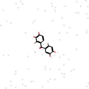 O=C(c1cc(O)c(O)cc1Br)c1ccc(O)c(O)c1Br